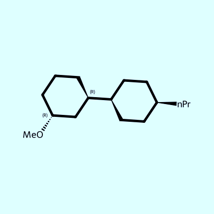 CCC[C@H]1CC[C@@H]([C@@H]2CCC[C@@H](OC)C2)CC1